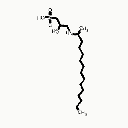 CCCCCCCCCCCCCC(C)NCC(O)CS(=O)(=O)O